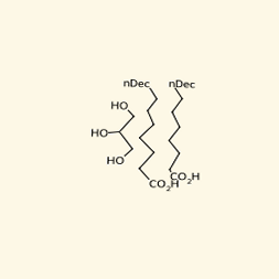 CCCCCCCCCCCCCCCCC(=O)O.CCCCCCCCCCCCCCCCC(=O)O.OCC(O)CO